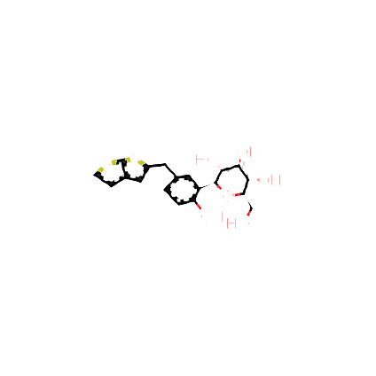 OC[C@H]1O[C@@H](c2cc(Cc3cc4ccsc4s3)ccc2O)[C@H](O)[C@@H](O)[C@@H]1O